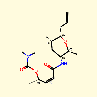 C=CC[C@@H]1O[C@H](C)[C@H](NC(=O)/C=C\[C@H](C)OC(=O)N(C)C)C[C@@H]1C